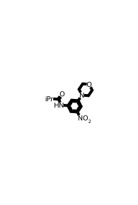 CC(C)C(=O)Nc1cc(N2CCOCC2)cc([N+](=O)[O-])c1